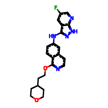 Fc1cnc2[nH]nc(Nc3ccc4c(OCCC5CCOCC5)nccc4c3)c2c1